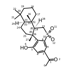 CC(=O)c1cc(O)c2c(c1)S(=O)(=O)C[C@@H]1[C@@]3(C)CCCC(C)(C)[C@@H]3CC[C@@]21C